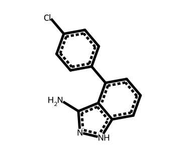 Nc1n[nH]c2cccc(-c3ccc(Cl)cc3)c12